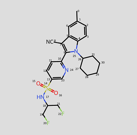 Cc1ccc2c(c1)c(C#N)c(-c1ccc(S(=O)(=O)NC(CF)CF)cn1)n2C1CCCCC1